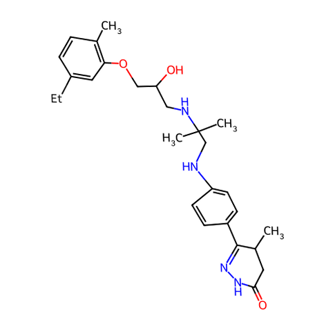 CCc1ccc(C)c(OCC(O)CNC(C)(C)CNc2ccc(C3=NNC(=O)CC3C)cc2)c1